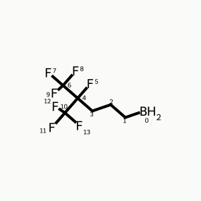 BCCCC(F)(C(F)(F)F)C(F)(F)F